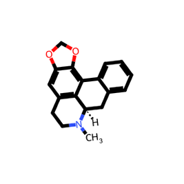 CN1CCc2cc3c(c4c2[C@H]1Cc1ccccc1-4)OCO3